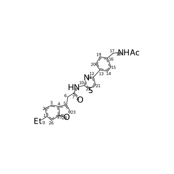 CCc1ccc2c(CC(=O)Nc3nc(-c4ccc(CNC(C)=O)cc4)cs3)coc2c1